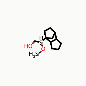 OC[SiH](O[SiH3])C12CCC(C1)C1CCCC12